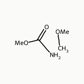 COC.COC(N)=O